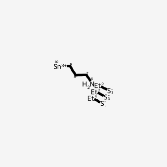 CC[S-].CC[S-].CC[S-].NCC[CH2][Sn+3]